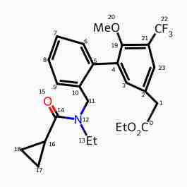 CCOC(=O)Cc1cc(-c2ccccc2CN(CC)C(=O)C2CC2)c(OC)c(C(F)(F)F)c1